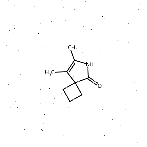 CC1=C(C)C2(CCC2)C(=O)N1